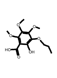 CCCOc1c(O)c(C(=O)O)c(OC)c(OC)c1OC